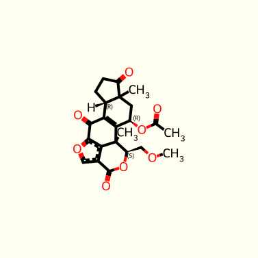 COC[C@H]1OC(=O)c2coc3c2C1(C)C1=C(C3=O)[C@@H]2CCC(=O)C2(C)C[C@H]1OC(C)=O